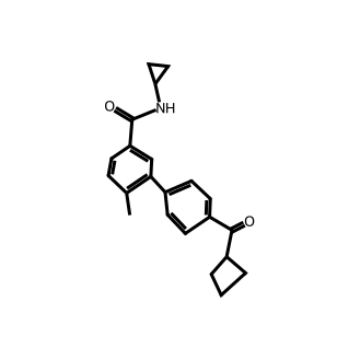 Cc1ccc(C(=O)NC2CC2)cc1-c1ccc(C(=O)C2CCC2)cc1